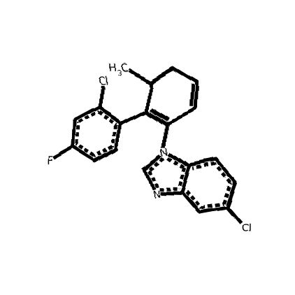 CC1CC=CC(n2cnc3cc(Cl)ccc32)=C1c1ccc(F)cc1Cl